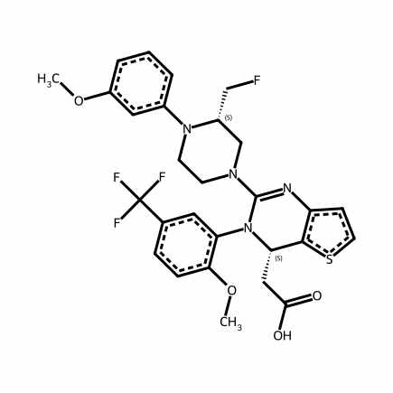 COc1cccc(N2CCN(C3=Nc4ccsc4[C@H](CC(=O)O)N3c3cc(C(F)(F)F)ccc3OC)C[C@H]2CF)c1